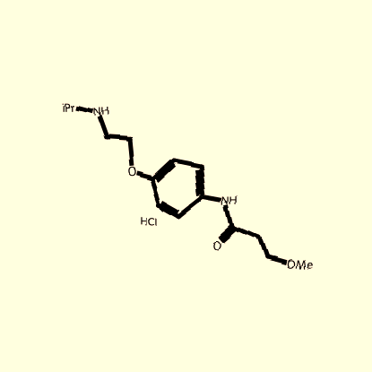 COCCC(=O)Nc1ccc(OCCNC(C)C)cc1.Cl